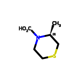 C[C@@H]1CSCCN1C(=O)O